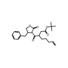 C=CCCCC(CC(=O)OC(C)(C)C)C(=O)N1C(=O)OCC1Cc1ccccc1